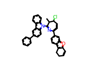 CC1C(n2c3ccccc3c3cc(-c4ccccc4)ccc32)=NC(c2ccc3c4c(oc3c2)C=CCC4)=C=CC1Cl